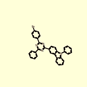 Brc1ccc(-c2nc(-c3ccccc3)nc(-c3ccc4c(c3)c3ccccc3n4-c3ccccc3)n2)cc1